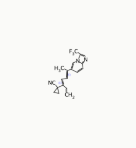 C=C/C(=C\C=C(/C)c1ccc2ncc(C(F)(F)F)n2c1)C1(C#N)CC1